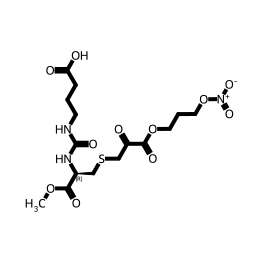 COC(=O)[C@H](CSCC(=O)C(=O)OCCCO[N+](=O)[O-])NC(=O)NCCCC(=O)O